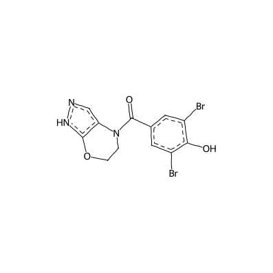 O=C(c1cc(Br)c(O)c(Br)c1)N1CCOc2[nH]ncc21